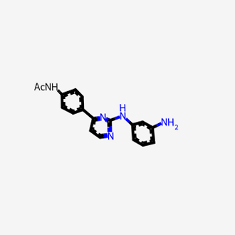 CC(=O)Nc1ccc(-c2ccnc(Nc3cccc(N)c3)n2)cc1